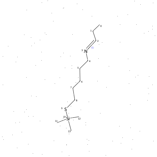 CC/C=N/CCCCCS[Si](C)(C)C